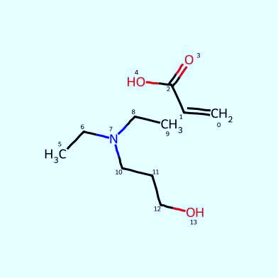 C=CC(=O)O.CCN(CC)CCCO